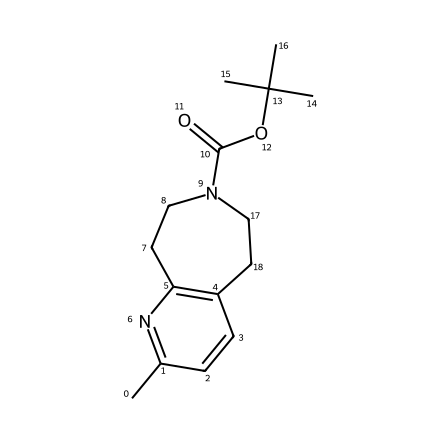 Cc1ccc2c(n1)CCN(C(=O)OC(C)(C)C)CC2